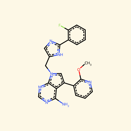 COc1ncccc1-c1cn(Cc2cnc(-c3ccccc3F)[nH]2)c2ncnc(N)c12